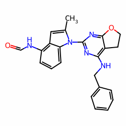 Cc1cc2c(NC=O)cccc2n1-c1nc(NCc2ccccc2)c2c(n1)OCC2